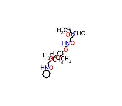 C/C=C\C(=O)N(C=O)CCC(=O)NCCOCCC(C)(C)OCC(C)(C)OCCC(=O)NC1CCCCCCC1